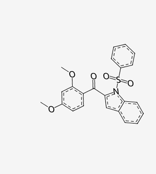 COc1ccc(C(=O)c2cc3ccccc3n2S(=O)(=O)c2ccccc2)c(OC)c1